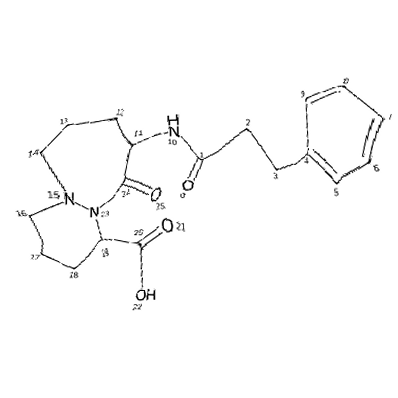 O=C(CCc1ccccc1)NC1CCCN2CCCC(C(=O)O)N2C1=O